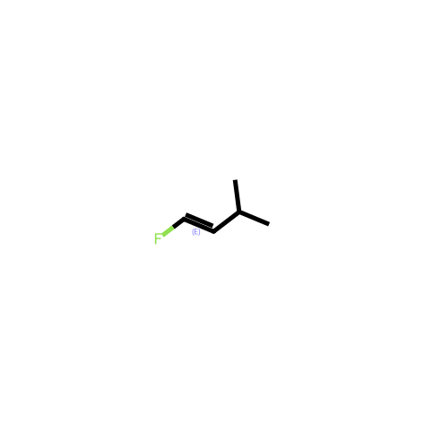 CC(C)/C=C/F